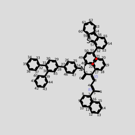 C=C(/C(=C\C=C(/C)c1cccc2ccccc12)c1ccccc1)N(c1ccc(-c2ccc(-c3ccccc3)c(-c3ccccc3)c2)cc1)c1ccc(-c2cccc3c2sc2ccccc23)cc1